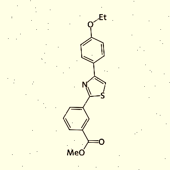 CCOc1ccc(-c2csc(-c3cccc(C(=O)OC)c3)n2)cc1